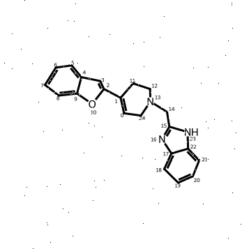 C1=C(c2cc3ccccc3o2)CCN(Cc2nc3ccccc3[nH]2)C1